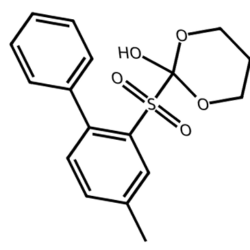 Cc1ccc(-c2ccccc2)c(S(=O)(=O)C2(O)OCCCO2)c1